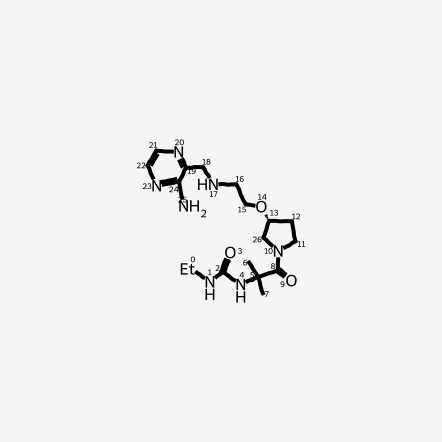 CCNC(=O)NC(C)(C)C(=O)N1CC[C@@H](OCCNCc2nccnc2N)C1